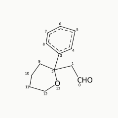 O=CCC1(c2ccccc2)CCCCO1